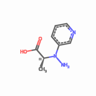 C[C@@H](C(=O)O)N(N)c1cccnc1